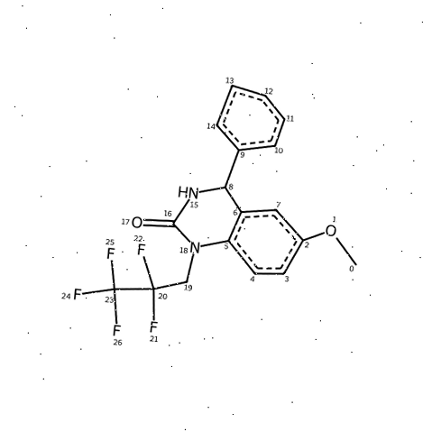 COc1ccc2c(c1)C(c1ccccc1)NC(=O)N2CC(F)(F)C(F)(F)F